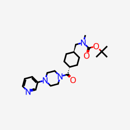 CN(C[C@H]1CC[C@H](C(=O)N2CCN(c3cccnc3)CC2)CC1)C(=O)OC(C)(C)C